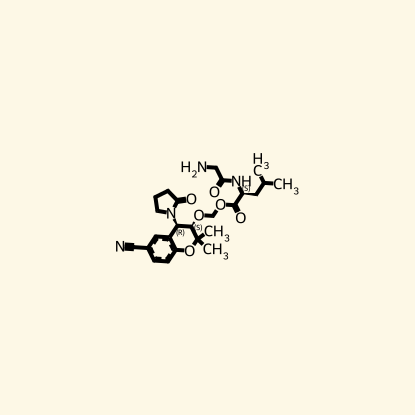 CC(C)C[C@H](NC(=O)CN)C(=O)OCO[C@H]1[C@H](N2CCCC2=O)c2cc(C#N)ccc2OC1(C)C